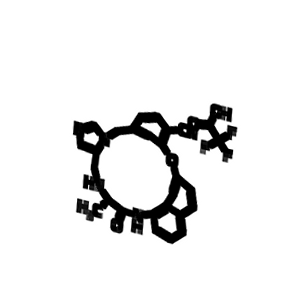 C[C@H]1NCc2cncn2Cc2ccc(C#N)c(c2)Oc2ccc3cccc(c3c2)NC1=O.O=C(O)C(F)(F)F